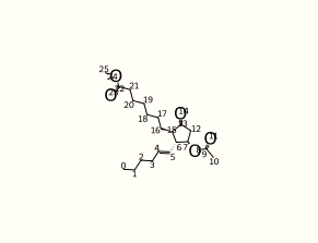 CCCCC=C[C@H]1[C@H](OC(C)=O)CC(=O)[C@@H]1CCCCCCC(=O)OC